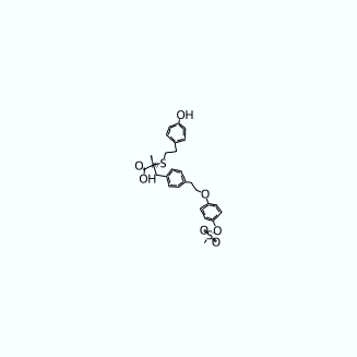 C[C@](Cc1ccc(CCOc2ccc(OS(C)(=O)=O)cc2)cc1)(SCCc1ccc(O)cc1)C(=O)O